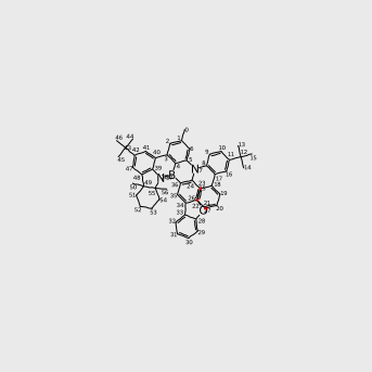 Cc1cc2c3c(c1)N(c1ccc(C(C)(C)C)cc1-c1ccccc1)c1cc4oc5ccccc5c4cc1B3N1c3c-2cc(C(C)(C)C)cc3C2(C)CCCCC12C